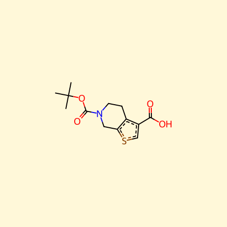 CC(C)(C)OC(=O)N1CCc2c(C(=O)O)csc2C1